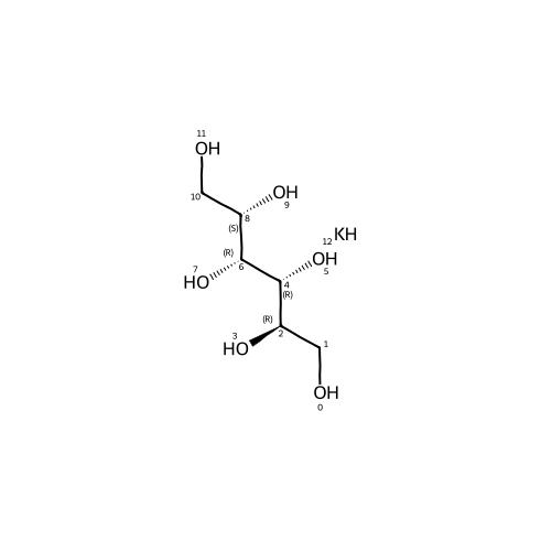 OC[C@@H](O)[C@@H](O)[C@H](O)[C@@H](O)CO.[KH]